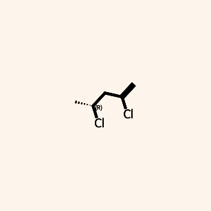 C=C(Cl)C[C@@H](C)Cl